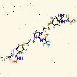 CB(O)NC(=N)c1ccc(SCCCn2ccn(CCCSc3ccc(C(=N)NBC=O)cc3)/c2=N\C(=O)C(F)(F)F)cc1